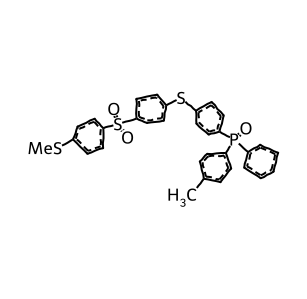 CSc1ccc(S(=O)(=O)c2ccc(Sc3ccc(P(=O)(c4ccccc4)c4ccc(C)cc4)cc3)cc2)cc1